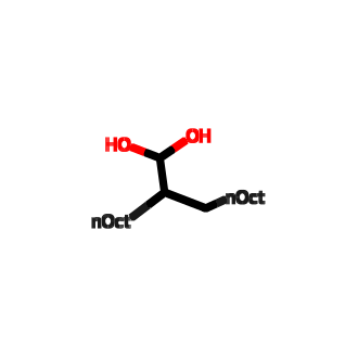 CCCCCCCCCC(CCCCCCCC)C(O)O